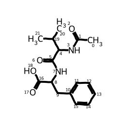 CC(=O)NC(C(=O)NC(Cc1ccccc1)C(=O)O)C(C)C